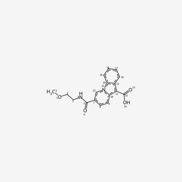 COCCNC(=O)c1ccc2c(C(=O)O)c3ccccc3n2c1